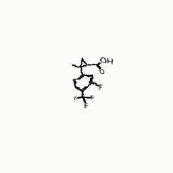 CC1(c2ccc(C(F)(F)F)c(F)c2)CC1C(=O)O